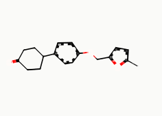 O=C1CCC(c2ccc(OCc3ccc(C(=O)O)o3)cc2)CC1